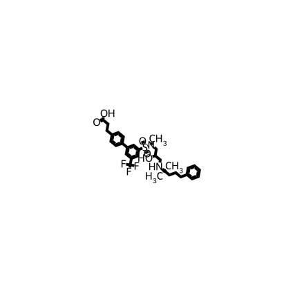 CN(CC(O)CNC(C)(C)CCCc1ccccc1)S(=O)(=O)c1cc(-c2ccc(CCC(=O)O)cc2)cc(C(F)(F)F)c1